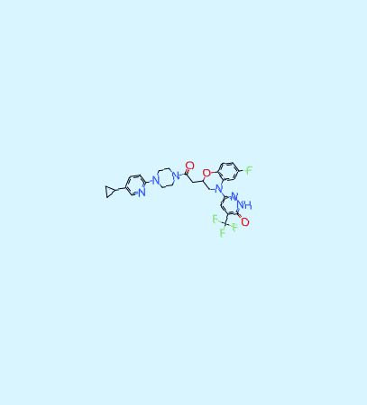 O=C(CC1CN(c2cc(C(F)(F)F)c(=O)[nH]n2)c2cc(F)ccc2O1)N1CCN(c2ccc(C3CC3)cn2)CC1